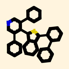 c1ccc(-c2ccccc2-c2sc(-c3c(-c4ccccc4)cncc3-c3ccccc3)c3ccccc23)cc1